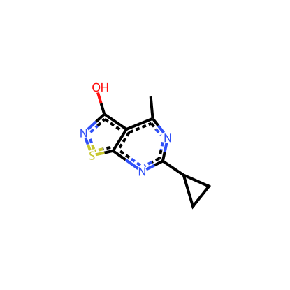 Cc1nc(C2CC2)nc2snc(O)c12